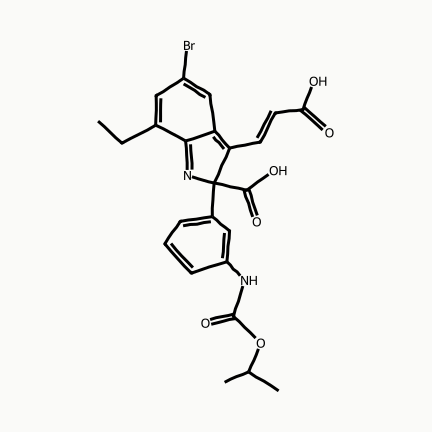 CCc1cc(Br)cc2c1=NC(C(=O)O)(c1cccc(NC(=O)OC(C)C)c1)C=2C=CC(=O)O